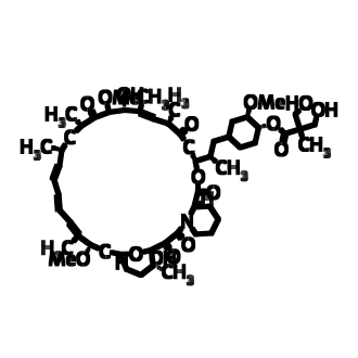 COC1C(=O)[C@H](C)C[C@H](C)/C=C/C=C/C=C(\C)[C@@H](OC)C[C@@H]2CC[C@@H](C)[C@@](O)(O2)C(=O)C(=O)N2CCCC[C@H]2C(=O)O[C@H]([C@H](C)CC2CC[C@@H](OC(=O)C(C)(CO)CO)[C@H](OC)C2)CC(=O)[C@H](C)/C=C(\C)[C@H]1O